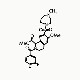 COC(=O)C1c2cc(S(=O)(=O)N3CCCN(C)CC3)c(OC)cc2CCN1C(=O)c1ccc(F)c(F)c1